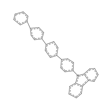 c1ccc(-c2ccc(-c3ccc(-c4ccc(-n5c6ccccc6c6ccccc65)cc4)cc3)cc2)cc1